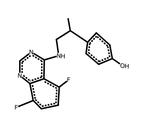 CC(CNc1ncnc2c(F)ccc(F)c12)c1ccc(O)cc1